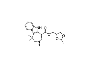 CC1OCC(COC(=O)C2=CNCC(C)(C)c3c2[nH]c2ccccc32)O1